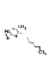 CCCCCCCCc1nc2ncnn2[c]c1C